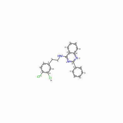 Clc1ccc(CCNc2nc(-c3ccccc3)nc3ccccc23)cc1Cl